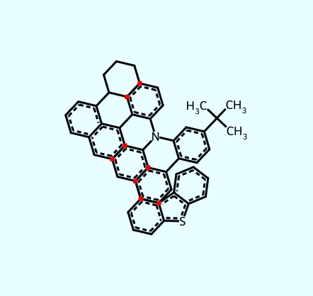 CC(C)(C)c1ccc(-c2ccccc2)c(N(c2cccc(-c3cccc4sc5ccccc5c34)c2)c2ccccc2-c2cccc3cccc(C4CCCCC4)c23)c1